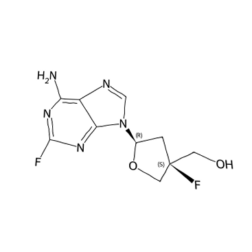 Nc1nc(F)nc2c1ncn2[C@H]1C[C@](F)(CO)CO1